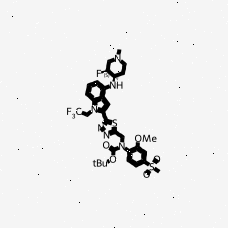 COc1cc(S(C)(=O)=O)ccc1N(Cc1nnc(-c2cc3c(N[C@@H]4CCN(C)C[C@@H]4F)cccc3n2CC(F)(F)F)s1)C(=O)OC(C)(C)C